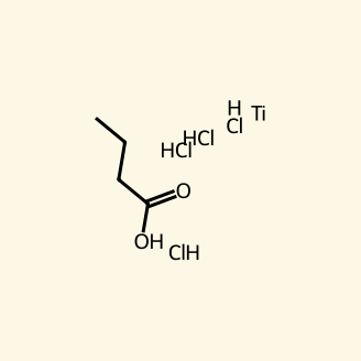 CCCC(=O)O.Cl.Cl.Cl.Cl.[Ti]